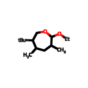 CCOC1OCC(C(C)(C)C)C(C)CC1C